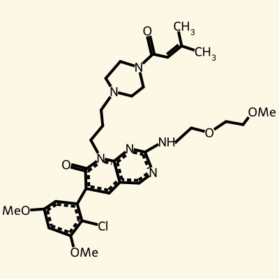 COCCOCCNc1ncc2cc(-c3cc(OC)cc(OC)c3Cl)c(=O)n(CCCN3CCN(C(=O)C=C(C)C)CC3)c2n1